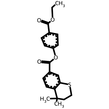 CCOC(=O)c1ccc(OC(=O)c2ccc3c(c2)SCCC3(C)C)cc1